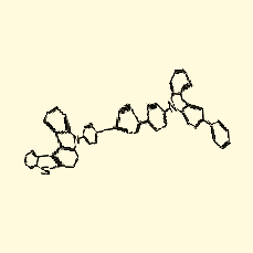 c1ccc(-c2ccc3c(c2)c2ccccc2n3-c2ccc(-c3ccc(-c4ccc(-n5c6ccccc6c6c7c(ccc65)sc5ccccc57)cc4)cc3)cc2)cc1